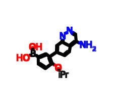 CC(C)Oc1ccc(B(O)O)cc1-c1ccc2c(N)cnnc2c1